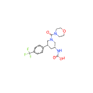 O=C(O)NC1CC(c2ccc(C(F)(F)F)cc2)CN(C(=O)N2CCOCC2)C1